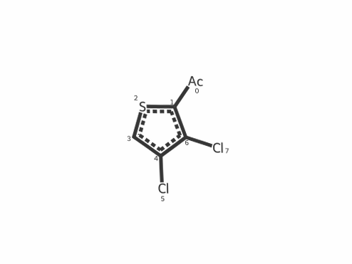 CC(=O)c1scc(Cl)c1Cl